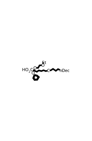 CCCCCCCCCCCCCCCCCCCCC(OCCOCC)(Oc1ccccc1)C(=O)O